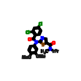 CCCN(C)C(=O)c1cnc(N(C(=O)c2ccc(Cl)cc2Cl)c2ccc(OC)c(OC)c2)s1